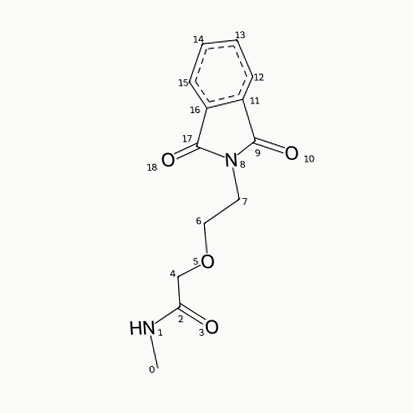 CNC(=O)COCCN1C(=O)c2ccccc2C1=O